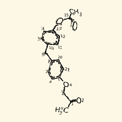 CC(=O)COc1ccc(Cc2ccc(OC(C)=O)cc2)cc1